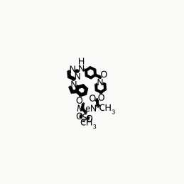 CN[C@@H](C)C(=O)OC1CCN(C(=O)C2CCC(Nc3nccc(-n4ccc5c(OCCCS(C)(=O)=O)cccc54)n3)CC2)CC1